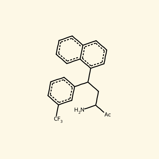 CC(=O)C(N)CC(c1cccc(C(F)(F)F)c1)c1cccc2ccccc12